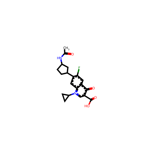 CC(=O)NC1CCC(c2cc3c(cc2F)c(=O)c(C(=O)O)cn3C2CC2)C1